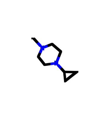 [CH2]N1CCN(C2CC2)CC1